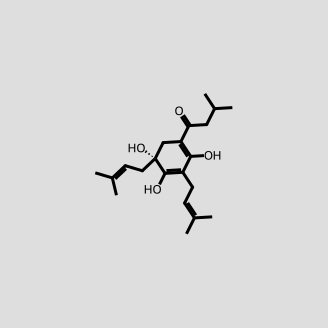 CC(C)=CCC1=C(O)[C@@](O)(CC=C(C)C)CC(C(=O)CC(C)C)=C1O